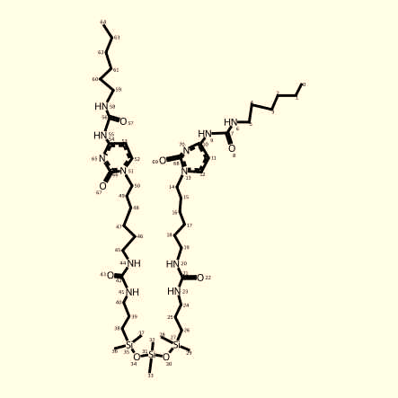 CCCCCCNC(=O)Nc1ccn(CCCCCCNC(=O)NCCC[Si](C)(C)O[Si](C)(C)O[Si](C)(C)CCCNC(=O)NCCCCCCn2ccc(NC(=O)NCCCCCC)nc2=O)c(=O)n1